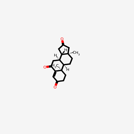 C[C@]12CC[C@@H]3[C@@H](CC(=O)C4=CC(=O)CC[C@@]43C)[C@@H]1CC(=O)C2